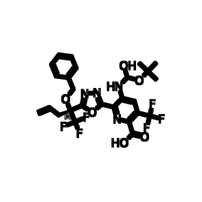 C=CC[C@@](OCc1ccccc1)(c1nnc(-c2nc(C(=O)O)c(C(F)(F)F)cc2NC(O)OC(C)(C)C)o1)C(F)(F)F